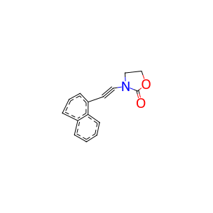 O=C1OCCN1C#Cc1cccc2ccccc12